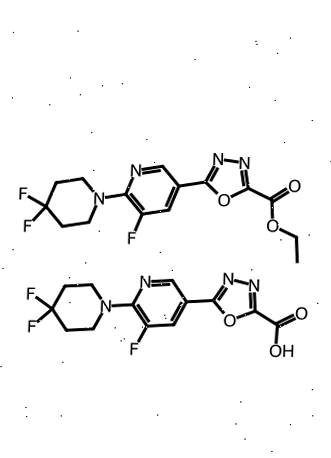 CCOC(=O)c1nnc(-c2cnc(N3CCC(F)(F)CC3)c(F)c2)o1.O=C(O)c1nnc(-c2cnc(N3CCC(F)(F)CC3)c(F)c2)o1